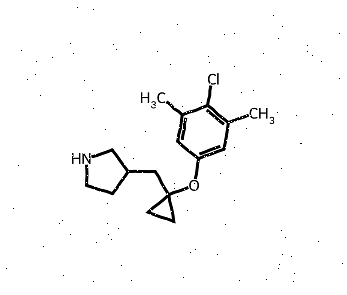 Cc1cc(OC2(CC3CCNC3)CC2)cc(C)c1Cl